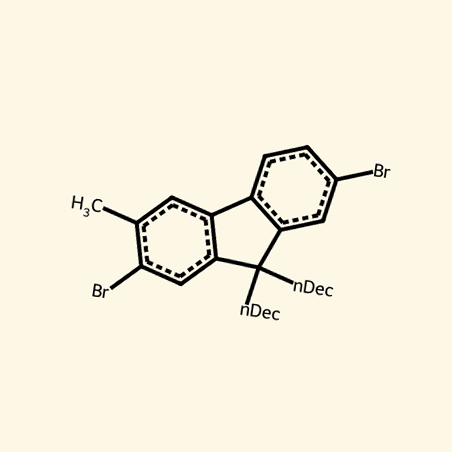 CCCCCCCCCCC1(CCCCCCCCCC)c2cc(Br)ccc2-c2cc(C)c(Br)cc21